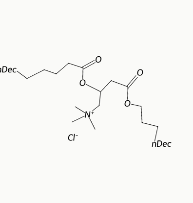 CCCCCCCCCCCCCCC(=O)OC(CC(=O)OCCCCCCCCCCCCC)C[N+](C)(C)C.[Cl-]